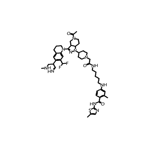 CNCC(C=N)c1cc2c(cc1C(F)F)N(C1=NN(C3CCN(CC(=O)NCCCCCNc4ccc(C(=O)Nc5ncc(C)s5)c(C)c4)CC3)C3CCN(C(C)=O)CC13)CCC2